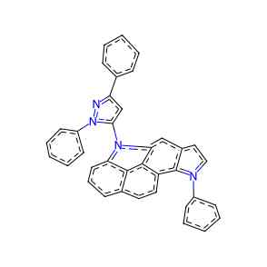 c1ccc(-c2cc(-n3c4cccc5ccc6c(c54)c3cc3ccn(-c4ccccc4)c36)n(-c3ccccc3)n2)cc1